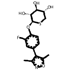 Cc1noc(C)c1-c1ccc(O[C@@H]2SC[C@@H](O)[C@H](O)[C@H]2O)c(F)c1